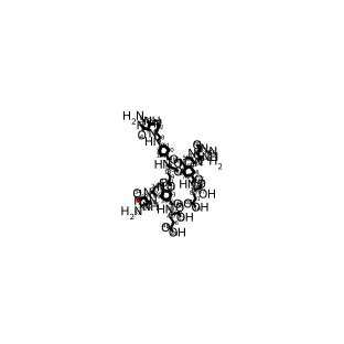 Nc1nc(=O)c2nc(CNc3ccc(C(=O)N[C@@H](CCC(=O)ON(Cc4cnc5[nH]c(N)nc(=O)c5n4)c4ccc(C(=O)N[C@@H](CCC(=O)O)C(=O)O)cc4)C(=O)ON(Cc4cnc5[nH]c(N)nc(=O)c5n4)c4ccc(C(=O)N[C@@H](CCC(=O)O)C(=O)O)cc4)cc3)cnc2[nH]1